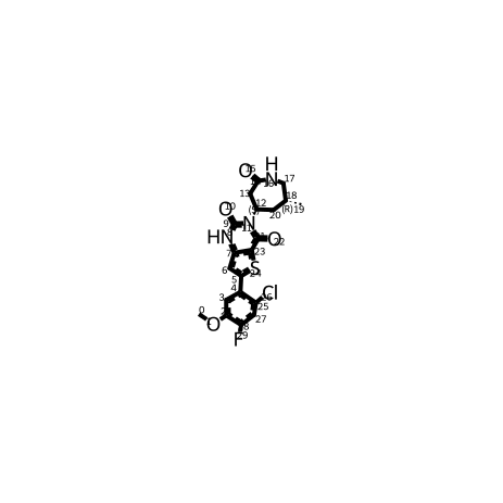 COc1cc(-c2cc3[nH]c(=O)n([C@@H]4CC(=O)NC[C@H](C)C4)c(=O)c3s2)c(Cl)cc1F